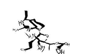 C=C1NC(N)=Nc2c1ccn2[C@@H]1O[C@H]([C@H](C)OC(O)O)C(O)C1(N)C#CCl